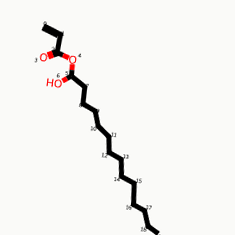 C=CC(=O)OC(O)CCCCCCCCCCCCC